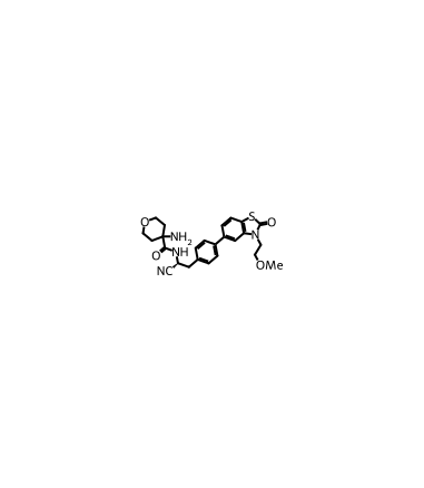 COCCn1c(=O)sc2ccc(-c3ccc(C[C@@H](C#N)NC(=O)C4(N)CCOCC4)cc3)cc21